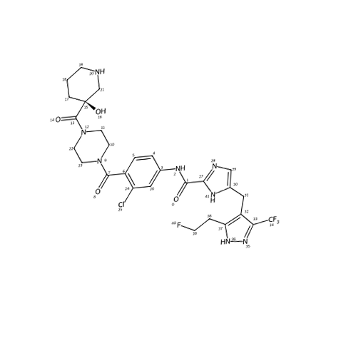 O=C(Nc1ccc(C(=O)N2CCN(C(=O)[C@]3(O)CCCNC3)CC2)c(Cl)c1)c1ncc(Cc2c(C(F)(F)F)n[nH]c2CCF)[nH]1